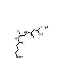 CCCCCCCCCCCCCC(=O)N[C@@H](CC)CNC(=O)C[C@H](O)CCCCCCC